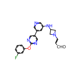 O=CC=CN1CC(Nc2cncc(-c3cnc(Oc4cccc(F)c4)nc3)c2)C1